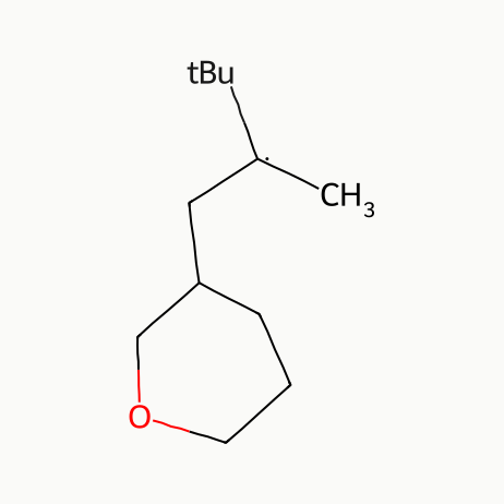 C[C](CC1CCCOC1)C(C)(C)C